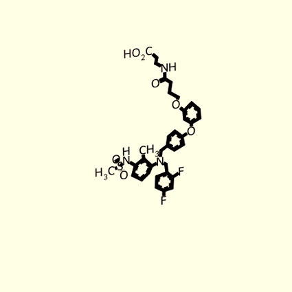 Cc1c(NS(C)(=O)=O)cccc1N(Cc1ccc(Oc2cccc(OCCCC(=O)NCCC(=O)O)c2)cc1)Cc1ccc(F)cc1F